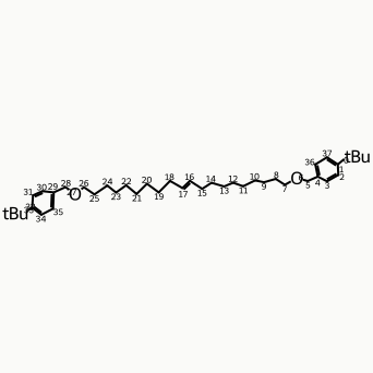 CC(C)(C)c1ccc(COCCCCCCCCCC=CCCCCCCCCCOCc2ccc(C(C)(C)C)cc2)cc1